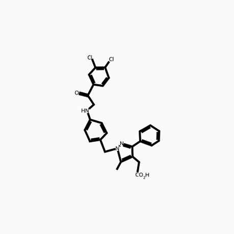 Cc1c(CC(=O)O)c(-c2ccccc2)nn1Cc1ccc(NCC(=O)c2ccc(Cl)c(Cl)c2)cc1